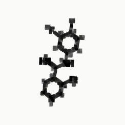 CCc1cnccc1C(=N)Nc1ccc(C)c(F)c1